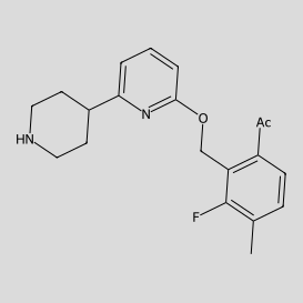 CC(=O)c1ccc(C)c(F)c1COc1cccc(C2CCNCC2)n1